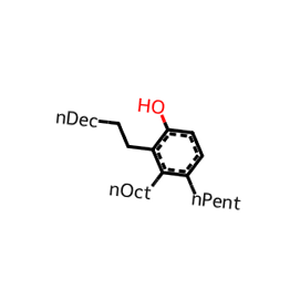 CCCCCCCCCCCCc1c(O)ccc(CCCCC)c1CCCCCCCC